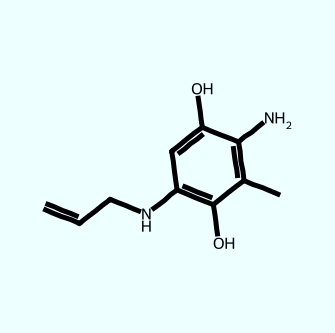 C=CCNc1cc(O)c(N)c(C)c1O